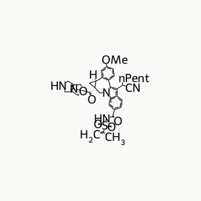 C=C(C)S(=O)(=O)NC(=O)c1ccc2c(C(C#N)CCCCC)c3n(c2c1)C[C@@]1(C(=O)N2CC45CNCC4(COC5)C2)C[C@H]1c1cc(OC)ccc1-3